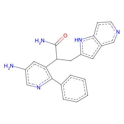 NC(=O)C(Cc1cc2cnccc2[nH]1)c1cc(N)cnc1-c1ccccc1